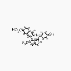 C[C@H](NC(=O)c1c(C(F)(F)F)nn2c1N(Cc1ccc(O)cc1)CC2)c1ccc(C(=O)O)cc1